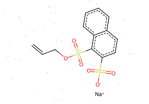 C=CCOS(=O)(=O)c1c(S(=O)(=O)[O-])ccc2ccccc12.[Na+]